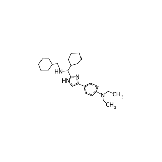 CCN(CC)c1ccc(-c2c[nH]c(C(NCC3CCCCC3)C3CCCCC3)n2)cc1